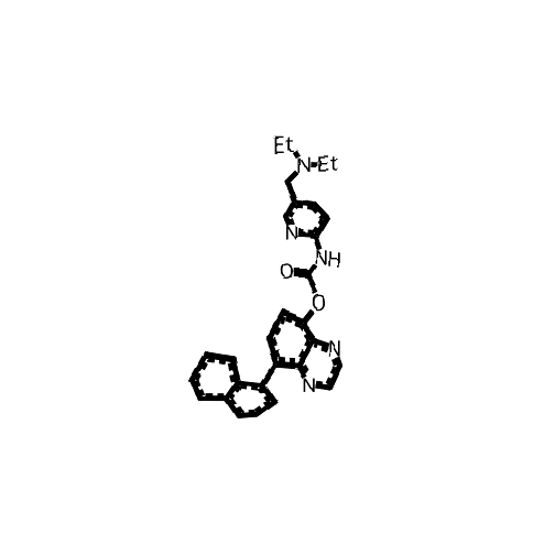 CCN(CC)Cc1ccc(NC(=O)Oc2ccc(-c3cccc4ccccc34)c3nccnc23)nc1